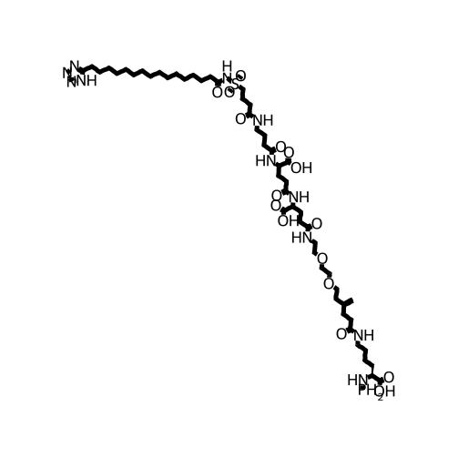 C=C(CCOCCOCCNC(=O)CCC(NC(=O)CCC(NC(=O)CCCNC(=O)CCCS(=O)(=O)NC(=O)CCCCCCCCCCCCCCCc1nnn[nH]1)C(=O)O)C(=O)O)CCC(=O)NCCCC[C@H](NP)C(=O)O